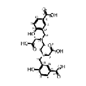 O=C(O)CN(CCN(CC(=O)O)Cc1cc(C(=O)O)ccc1O)Cc1cc(C(=O)O)ccc1O